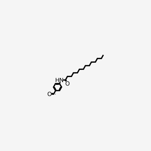 CCCCCCCCCCCCCC(=O)Nc1ccc([C]=O)cc1